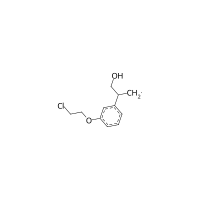 [CH2]C(CO)c1cccc(OCCCl)c1